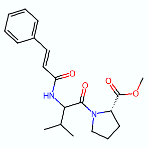 COC(=O)[C@@H]1CCCN1C(=O)C(NC(=O)C=Cc1ccccc1)C(C)C